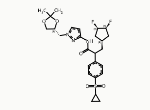 CC1(C)OC[C@@H](Cn2ccc(NC(=O)C(C[C@H]3C[C@@H](F)[C@@H](F)C3)c3ccc(S(=O)(=O)C4CC4)cc3)n2)O1